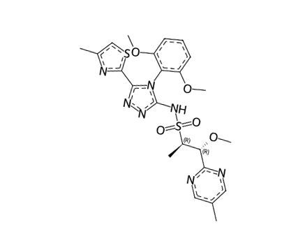 COc1cccc(OC)c1-n1c(NS(=O)(=O)[C@H](C)[C@H](OC)c2ncc(C)cn2)nnc1-c1nc(C)cs1